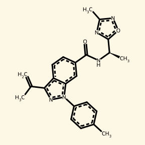 C=C(C)c1nn(-c2ccc(C)cc2)c2cc(C(=O)N[C@H](C)c3nc(C)no3)ccc12